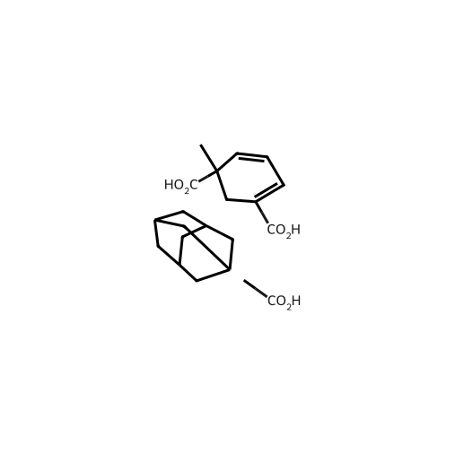 C1C2CC3CC1CC(C2)C3.CC(=O)O.CC1(C(=O)O)C=CC=C(C(=O)O)C1